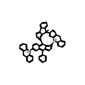 CC12c3ccc4c(c3)N(c3ccc5c(-c6ccccc6)c6cc(N7c8ccccc8Cc8ccccc87)ccc6c(c5c3)-c3ccc(c1c3)-c1ccccc12)c1ccccc1C4